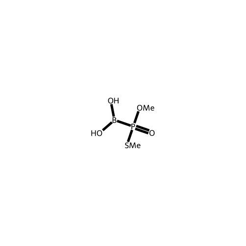 COP(=O)(SC)B(O)O